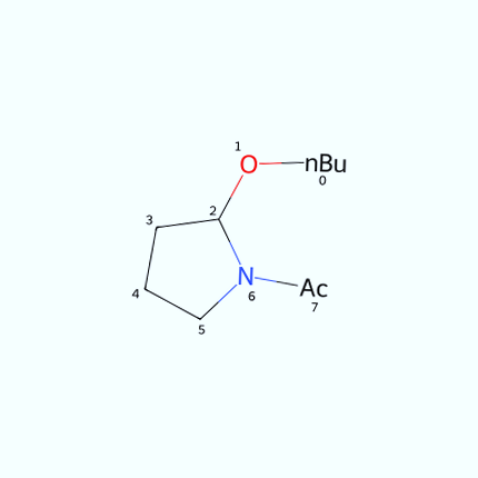 CCCCOC1CCCN1C(C)=O